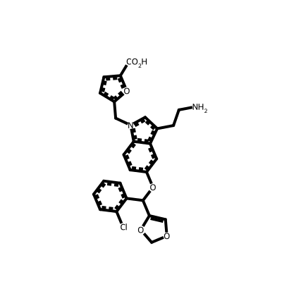 NCCc1cn(Cc2ccc(C(=O)O)o2)c2ccc(OC(C3=COCO3)c3ccccc3Cl)cc12